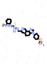 CC(C)c1ccccc1NC(=S)NN=Cc1cc2ccc3c(ncn3-c3ccc(OC(F)(F)F)cc3)c2cn1